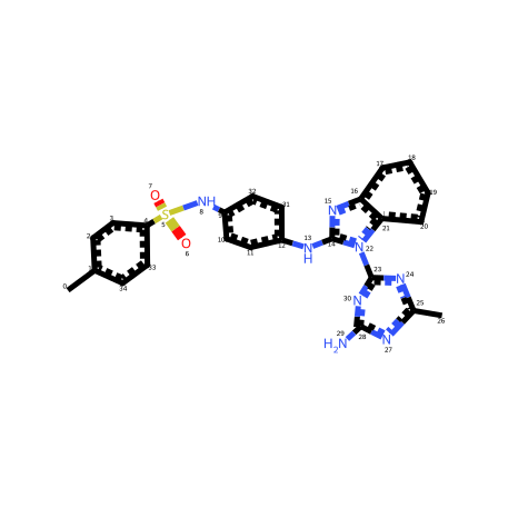 Cc1ccc(S(=O)(=O)Nc2ccc(Nc3nc4ccccc4n3-c3nc(C)nc(N)n3)cc2)cc1